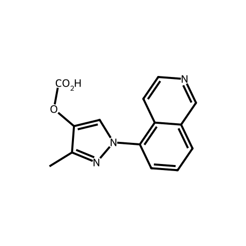 Cc1nn(-c2cccc3cnccc23)cc1OC(=O)O